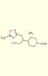 Cc1nc(CC(CN)C2CCN(C=O)C[C@H]2C)no1